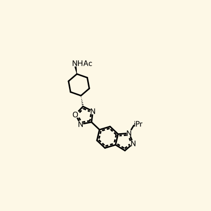 CC(=O)N[C@H]1CC[C@H](c2nc(-c3ccc4cnn(C(C)C)c4c3)no2)CC1